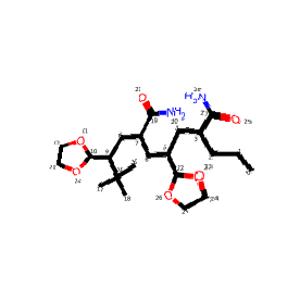 CCCC(CC(CC(CC(C1OCCO1)C(C)(C)C)C(N)=O)C1OCCO1)C(N)=O